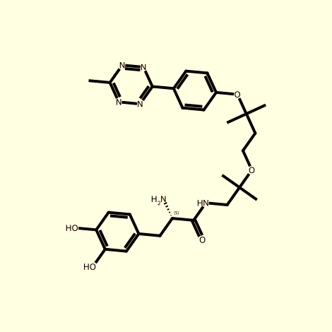 Cc1nnc(-c2ccc(OC(C)(C)CCOC(C)(C)CNC(=O)[C@@H](N)Cc3ccc(O)c(O)c3)cc2)nn1